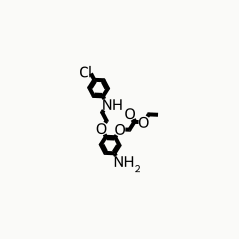 CCOC(=O)COc1cc(N)ccc1OCCNc1ccc(Cl)cc1